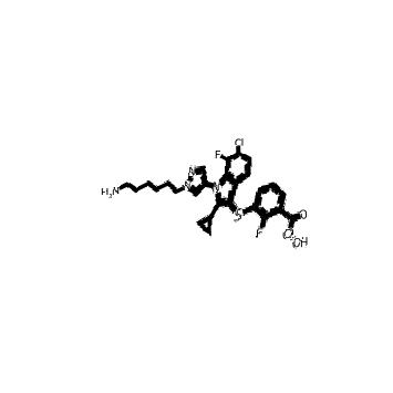 NCCCCCCn1cc(-n2c(C3CC3)c(Sc3cccc(C(=O)OO)c3F)c3ccc(Cl)c(F)c32)cn1